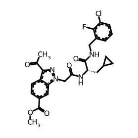 COC(=O)c1ccc2c(C(C)=O)nn(CC(=O)N[C@@H](CC3CC3)C(=O)NCc3cccc(Cl)c3F)c2c1